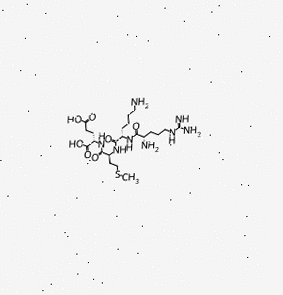 CSCC[C@H](NC(=O)[C@H](CCCCN)NC(=O)[C@@H](N)CCCNC(=N)N)C(=O)N[C@@H](CCC(=O)O)C(=O)O